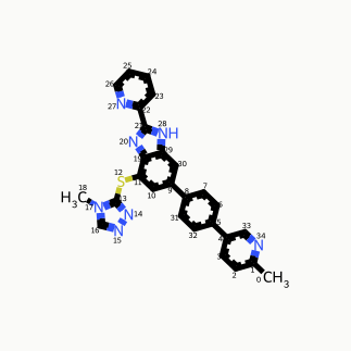 Cc1ccc(-c2ccc(-c3cc(Sc4nncn4C)c4nc(-c5ccccn5)[nH]c4c3)cc2)cn1